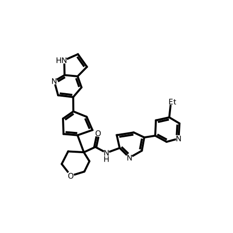 CCc1cncc(-c2ccc(NC(=O)C3(c4ccc(-c5cnc6[nH]ccc6c5)cc4)CCOCC3)nc2)c1